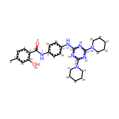 Cc1ccc(C(=O)Nc2ccc(Nc3nc(N4CCCCC4)nc(N4CCCCC4)n3)cc2)c(O)c1